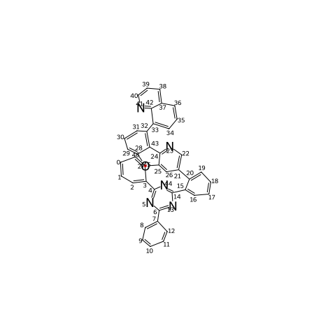 c1ccc(-c2nc(-c3ccccc3)nc(-c3ccccc3-c3cnc4c(c3)oc3cccc(-c5cccc6cccnc56)c34)n2)cc1